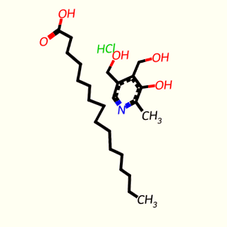 CCCCCCCCCCCCCCCC(=O)O.Cc1ncc(CO)c(CO)c1O.Cl